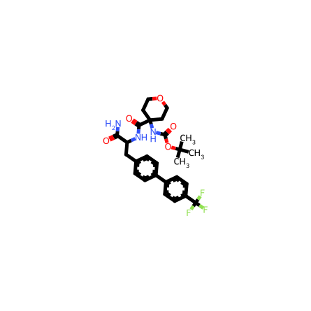 CC(C)(C)OC(=O)NC1(C(=O)NC(Cc2ccc(-c3ccc(C(F)(F)F)cc3)cc2)C(N)=O)CCOCC1